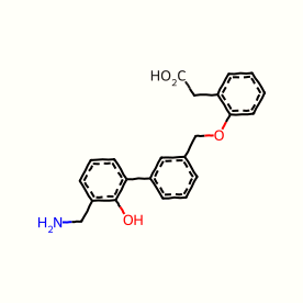 NCc1cccc(-c2cccc(COc3ccccc3CC(=O)O)c2)c1O